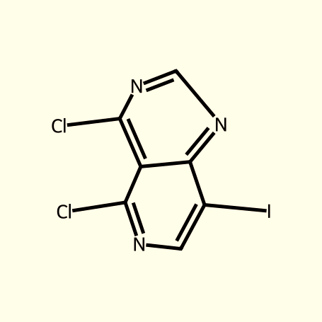 Clc1ncnc2c(I)cnc(Cl)c12